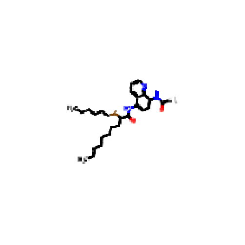 CCCCCCCCC(SCCCCCC)C(=O)Nc1ccc(NC(C)=O)c2ncccc12